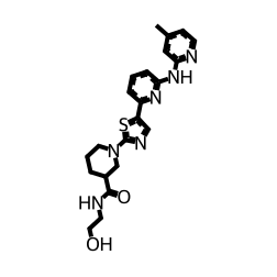 Cc1ccnc(Nc2cccc(-c3cnc(N4CCCC(C(=O)NCCO)C4)s3)n2)c1